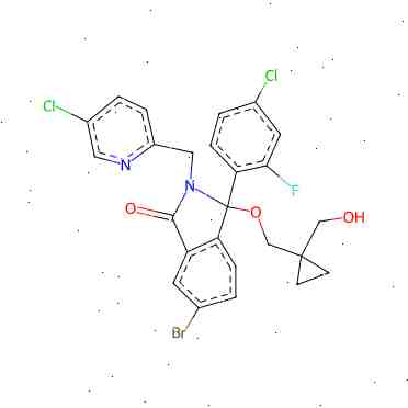 O=C1c2cc(Br)ccc2C(OCC2(CO)CC2)(c2ccc(Cl)cc2F)N1Cc1ccc(Cl)cn1